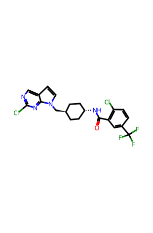 O=C(N[C@H]1CC[C@H](Cn2ccc3cnc(Cl)nc32)CC1)c1cc(C(F)(F)F)ccc1Cl